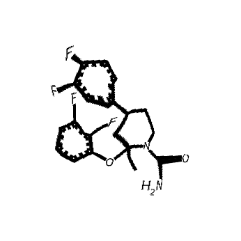 CC1(Oc2cccc(F)c2F)CC(c2ccc(F)c(F)c2)CCN1C(N)=O